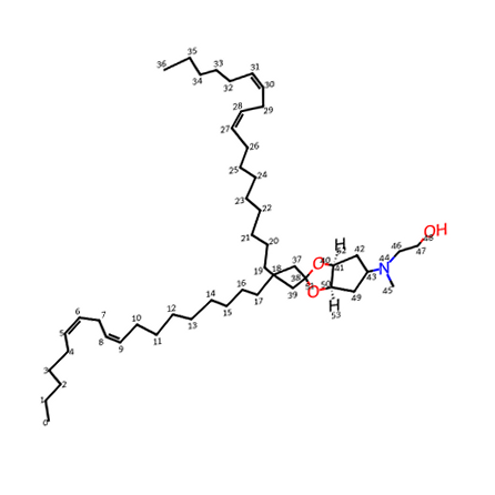 CCCCC/C=C\C/C=C\CCCCCCCCC1(CCCCCCCC/C=C\C/C=C\CCCCC)CC2(C1)O[C@H]1CC(N(C)CCO)C[C@H]1O2